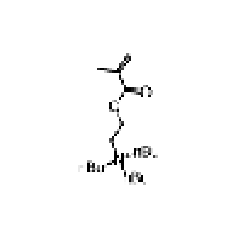 C=C(C)C(=O)OCC[N+](CCCC)(CCCC)CCCC